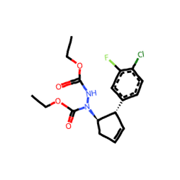 CCOC(=O)NN(C(=O)OCC)[C@@H]1CC=C[C@H]1c1ccc(Cl)c(F)c1